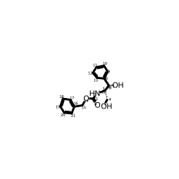 O=C(N[C@@H](CO)[C@@H](O)c1ccccc1)OCc1ccccc1